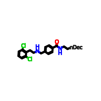 CCCCCCCCCCCCNC(=O)c1ccc(CNCCc2c(Cl)cccc2Cl)cc1